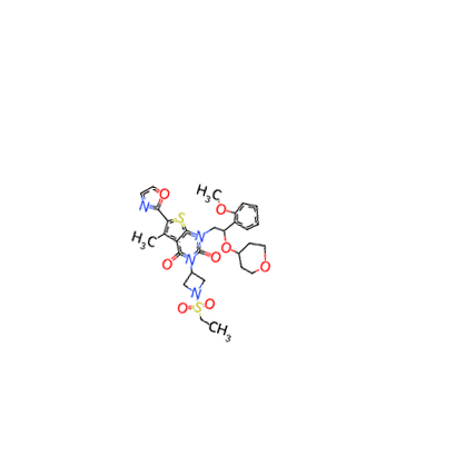 CCS(=O)(=O)N1CC(n2c(=O)c3c(C)c(-c4ncco4)sc3n(CC(OC3CCOCC3)c3ccccc3OC)c2=O)C1